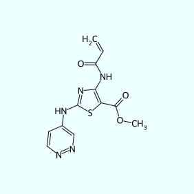 C=CC(=O)Nc1nc(Nc2ccnnc2)sc1C(=O)OC